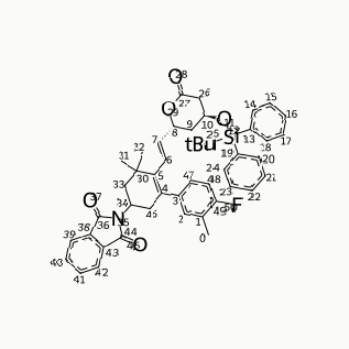 Cc1cc(C2=C(C=C[C@H]3C[C@H](O[Si](c4ccccc4)(c4ccccc4)C(C)(C)C)CC(=O)O3)C(C)(C)CC(N3C(=O)c4ccccc4C3=O)C2)ccc1F